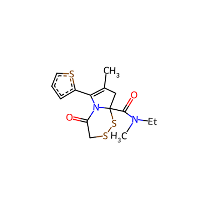 CCN(C)C(=O)C12CC(C)=C(c3cccs3)N1C(=O)CSS2